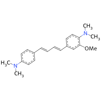 COc1cc(C=CC=Cc2ccc(N(C)C)cc2)ccc1N(C)C